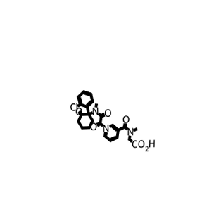 CN(CC(=O)O)C(=O)c1ccc[n+](C(=O)C(=O)N(C)C2(c3ccccc3Cl)CCCCC2=O)c1